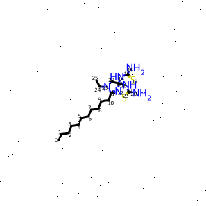 CCCCCCCCCCCC1=NC(NC(N)=S)(NC(N)=S)CN1CC